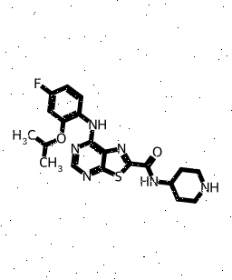 CC(C)Oc1cc(F)ccc1Nc1ncnc2sc(C(=O)NC3CCNCC3)nc12